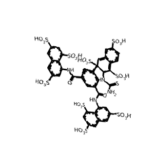 NC(=S)NC1C(S(=O)(=O)O)=c2ccc(S(=O)(=O)O)cc2=CC1(c1cc(C(=O)Nc2cc(S(=O)(=O)O)cc3cc(S(=O)(=O)O)cc(S(=O)(=O)O)c23)cc(C(=O)Nc2cc(S(=O)(=O)O)cc3cc(S(=O)(=O)O)cc(S(=O)(=O)O)c23)c1)S(=O)(=O)O